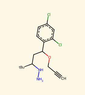 C#CCOC(CC(NN)C(C)(C)C)c1ccc(Cl)cc1Cl